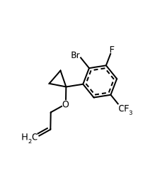 C=CCOC1(c2cc(C(F)(F)F)cc(F)c2Br)CC1